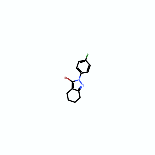 Clc1ccc(-n2nc3c(c2Br)CCCC3)cc1